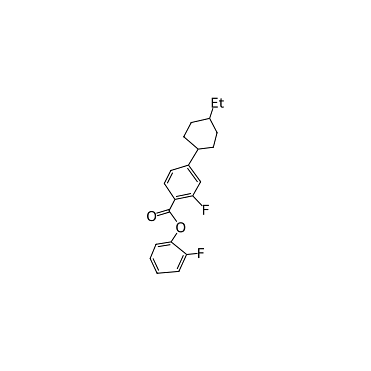 CCC1CCC(c2ccc(C(=O)Oc3ccccc3F)c(F)c2)CC1